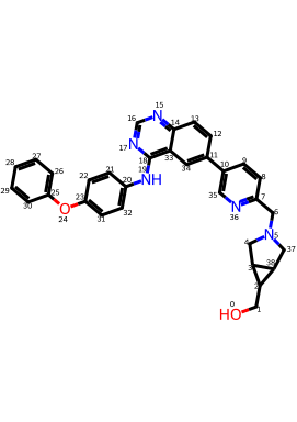 OCC1C2CN(Cc3ccc(-c4ccc5ncnc(Nc6ccc(Oc7ccccc7)cc6)c5c4)cn3)CC12